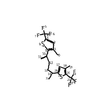 Cc1cc(C(F)(F)F)sc1C(C)CCC(C)c1cc(C)c(C(F)(F)F)s1